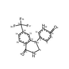 O=C1NCN(c2ccc(=O)[nH]c2)c2cc(C(F)(F)F)ccc21